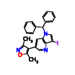 Cc1noc(C)c1-c1cnc2c(I)cn(C(c3ccccc3)c3ccccc3)c2c1